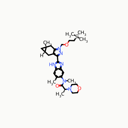 Cc1cc2[nH]c(-c3nn(COCC[Si](C)(C)C)c4c3C[C@@H]3C[C@]3(C)C4)nc2cc1N(C)C(=O)[C@H](C)N1CCOCC1